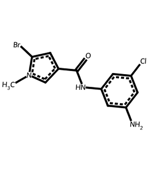 Cn1cc(C(=O)Nc2cc(N)cc(Cl)c2)cc1Br